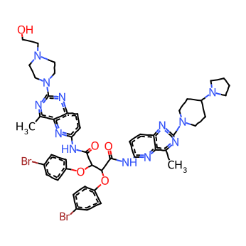 Cc1nc(N2CCC(N3CCCC3)CC2)nc2ccc(NC(=O)C(Oc3ccc(Br)cc3)C(Oc3ccc(Br)cc3)C(=O)Nc3ccc4nc(N5CCN(CCO)CC5)nc(C)c4n3)nc12